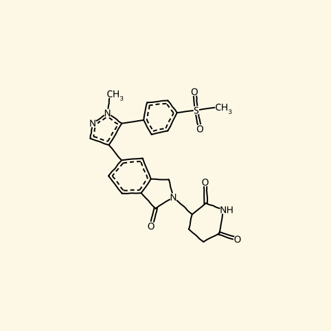 Cn1ncc(-c2ccc3c(c2)CN(C2CCC(=O)NC2=O)C3=O)c1-c1ccc(S(C)(=O)=O)cc1